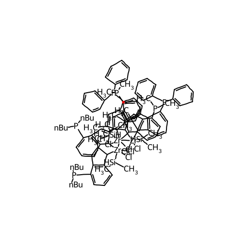 CCCCP(CCCC)c1cccc2c1C=C(C)[CH]2[Zr]([Cl])([Cl])([CH]1C(C)=Cc2c1cccc2P(CCCC)CCCC)([SiH](C)C)[Zr]([Cl])([Cl])([CH]1C(C)=Cc2c1cccc2P(C)C)([CH]1C(C)=Cc2c1cccc2P(C)C)([SiH](C)C)[Zr]([Cl])([Cl])([CH]1C(C)=Cc2c1cccc2P(c1ccccc1)c1ccccc1)([CH]1C(C)=Cc2c1cccc2P(c1ccccc1)c1ccccc1)[SiH](C)C